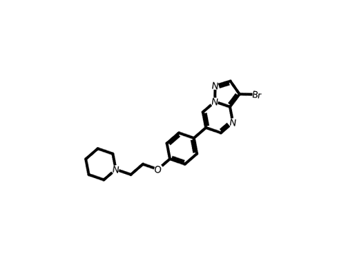 Brc1cnn2cc(-c3ccc(OCCN4CCCCC4)cc3)cnc12